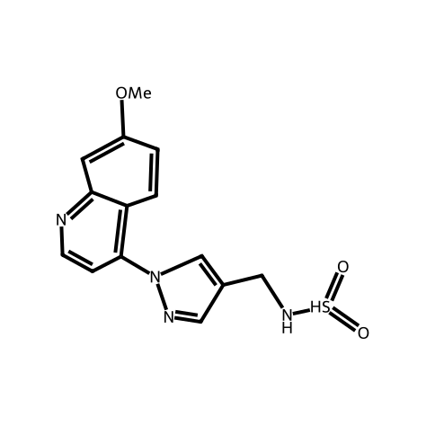 COc1ccc2c(-n3cc(CN[SH](=O)=O)cn3)ccnc2c1